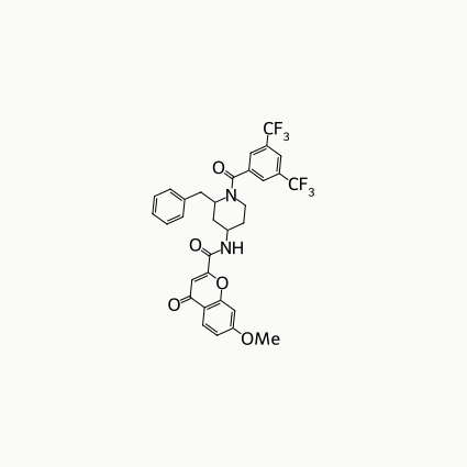 COc1ccc2c(=O)cc(C(=O)NC3CCN(C(=O)c4cc(C(F)(F)F)cc(C(F)(F)F)c4)C(Cc4ccccc4)C3)oc2c1